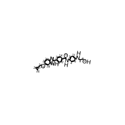 O=C(Nc1ccc(NCCO)cc1)c1ccc(-c2nc3ccc(OCC4CC4)cc3[nH]2)cc1